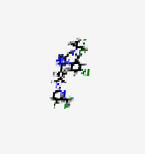 Fc1ccc(N2CC3(CC(c4nnc5n4-c4ccc(Cl)cc4CN(C4(C(F)(F)F)CC4)C5)C3)C2)nc1C(F)F